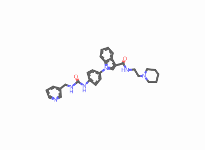 O=C(NCc1cccnc1)Nc1ccc(-n2cc(C(=O)NCCN3CCCCC3)c3ccccc32)cc1